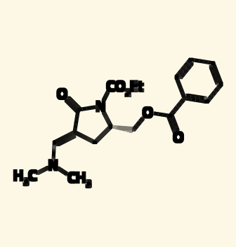 CCOC(=O)N1C(=O)/C(=C/N(C)C)C[C@H]1COC(=O)c1ccccc1